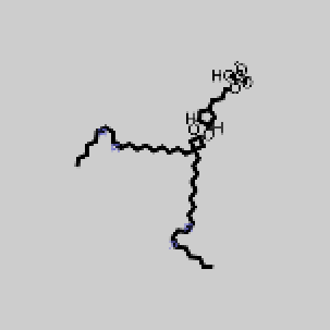 CCCCC/C=C\C/C=C\CCCCCCCCC1(CCCCCCCC/C=C\C/C=C\CCCCC)CC2(C1)O[C@H]1CC(CCCOP(=O)(O)OC)C[C@H]1O2